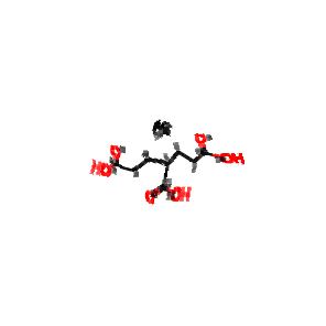 O=C(O)CCC(CCC(=O)O)C(=O)O.[Ag]